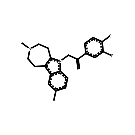 C=C(Cn1c2c(c3cc(C)ccc31)CCN(C)CC2)c1ccc(Cl)c(F)c1